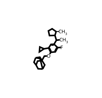 CC(c1cc(C2CC2)c(OCC23CC4CC(CC(C4)C2)C3)cc1F)C1CCC[C@H]1C